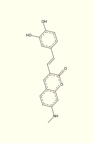 CNc1ccc2cc(/C=C/c3ccc(O)c(O)c3)c(=O)oc2c1